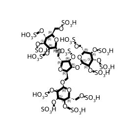 O=S(=O)(O)OC[C@H]1O[C@@H](OC[C@H]2O[C@H](CO[C@@H]3O[C@H](COS(=O)(=O)O)[C@@H](OS(=O)(=O)O)[C@H](OS(=O)(=O)O)[C@H]3OS(=O)(=O)O)[C@@H](OS(=O)(=O)O)[C@@H]2O[C@@H]2O[C@H](COS(=O)(=O)O)[C@@H](OS(=O)(=O)O)[C@H](OS(=O)(=O)O)[C@H]2OS(=O)(=O)O)[C@H](OS(=O)(=O)O)[C@@H](OS(=O)(=O)O)[C@@H]1OS(=O)(=O)O